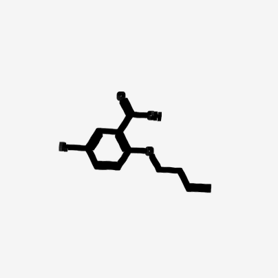 C=CCCOc1ccc(Br)cc1C(=O)O